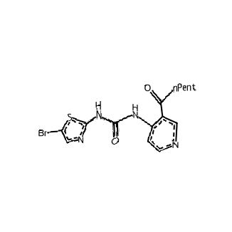 CCCCCC(=O)c1cnccc1NC(=O)Nc1ncc(Br)s1